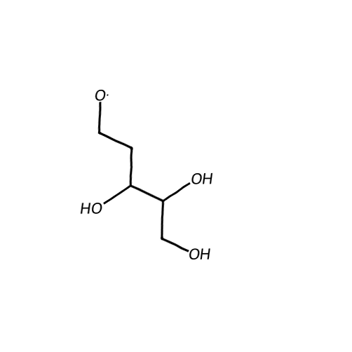 [O]CCC(O)C(O)CO